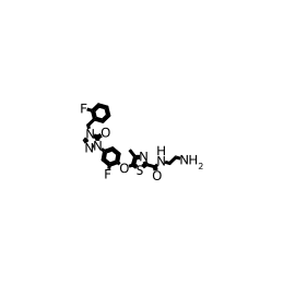 Cc1nc(C(=O)NCCN)sc1Oc1ccc(-n2ncn(Cc3ccccc3F)c2=O)cc1F